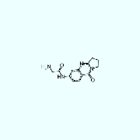 NCC(=O)Nc1ccc2c(=O)n3c(nc2c1)CCC3